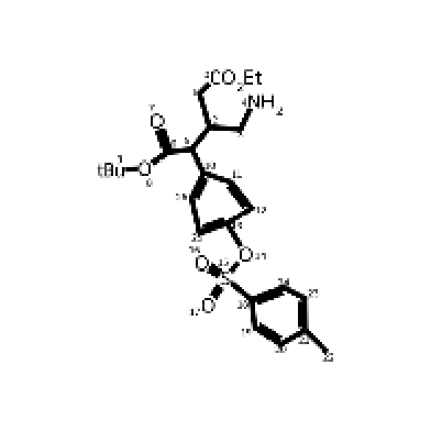 CCOC(=O)CC(CN)C(C(=O)OC(C)(C)C)c1ccc(OS(=O)(=O)c2ccc(C)cc2)cc1